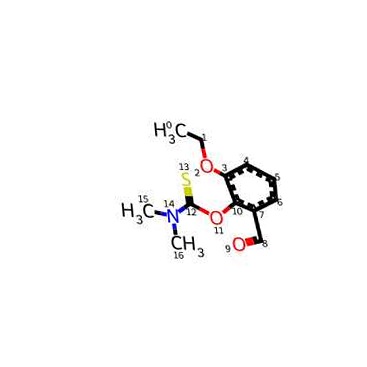 CCOc1cccc(C=O)c1OC(=S)N(C)C